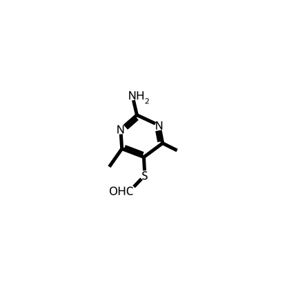 Cc1nc(N)nc(C)c1SC=O